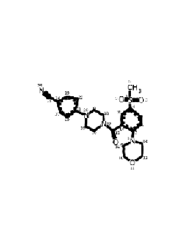 CS(=O)(=O)c1ccc(N2CCOCC2)c(C(=O)N2CCN(c3ccc(C#N)cc3)CC2)c1